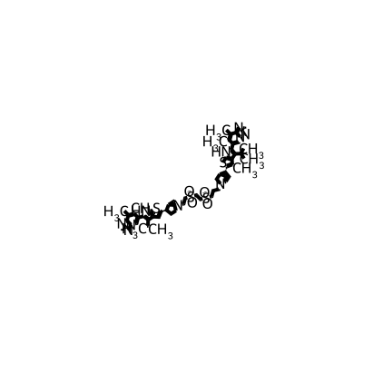 Cc1c(-c2[nH]c3sc([C@@H]4CC5CC4CN5CCS(=O)(=O)CCS(=O)(=O)CCCN4CC5CC4C[C@H]5c4sc5[nH]c(-c6cn7ncnc7c(C)c6C)c(C(C)C)c5c4C)cc3c2C(C)C)cn2ncnc2c1C